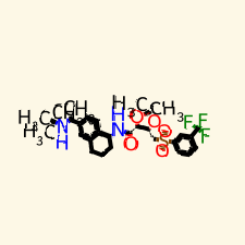 CC(NC(C)(C)C)c1ccc2c(c1)CCC[C@H]2NC(=O)[C@@H]1OC(C)(C)O[C@@H]1CS(=O)(=O)c1cccc(C(F)(F)F)c1